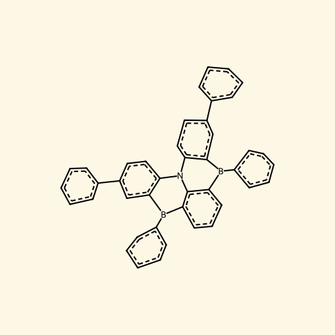 c1ccc(B2c3cc(-c4ccccc4)ccc3N3c4ccc(-c5ccccc5)cc4B(c4ccccc4)c4cccc2c43)cc1